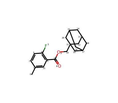 Cc1ccc(F)c(C(=O)OCC23CC4CC(CC(C4)C2)C3)c1